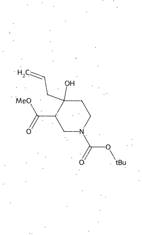 C=CCC1(O)CCN(C(=O)OC(C)(C)C)CC1C(=O)OC